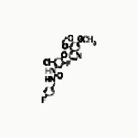 COc1cc2nccc(Oc3cc(Cl)c(NC(=O)NCc4ccc(F)cc4)cc3F)c2c2c1OCCO2